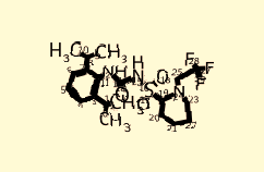 CC(C)c1cccc(C(C)C)c1NC(=O)NS(=O)(=O)C1CCCCN1CC(F)(F)F